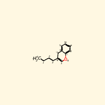 [CH2]CCCC1=COc2ccccc2C1